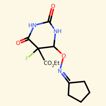 CCOC(=O)C1(F)C(=O)NC(=O)NC1ON=C1CCCC1